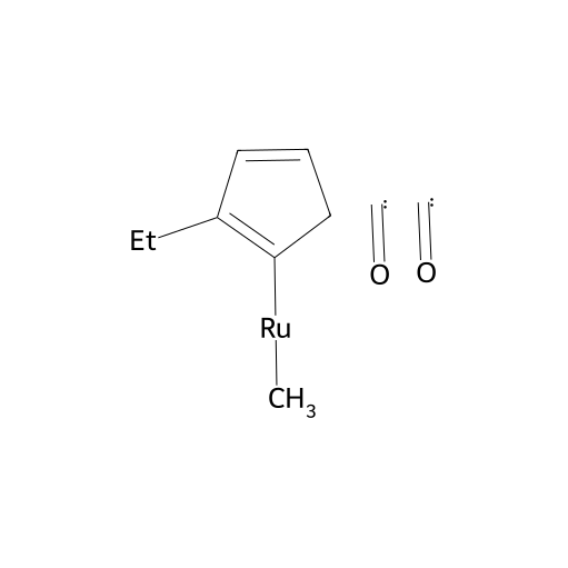 CCC1=[C]([Ru][CH3])CC=C1.[C]=O.[C]=O